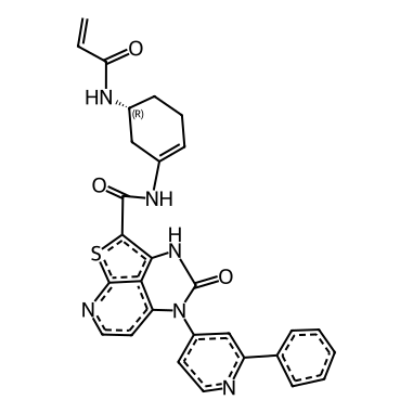 C=CC(=O)N[C@@H]1CCC=C(NC(=O)c2sc3nccc4c3c2NC(=O)N4c2ccnc(-c3ccccc3)c2)C1